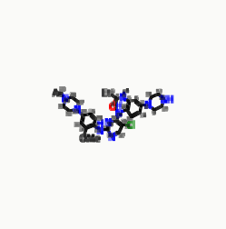 CCC(=O)N(C)c1cc(N2CCNCC2)ccc1Nc1nc(Nc2ccc(N3CCN(C(C)=O)CC3)cc2OC)ncc1Cl